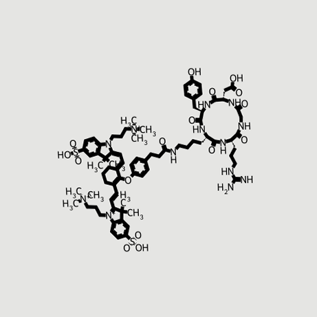 CC1(C)C(/C=C/C2=C(Oc3ccc(CCC(=O)NCCCC[C@@H]4NC(=O)[C@@H](Cc5ccc(O)cc5)NC(=O)[C@H](CC(=O)O)NC(=O)CNC(=O)[C@H](CCCNC(=N)N)NC4=O)cc3)C(=C/C=C3/N(CCC[N+](C)(C)C)c4ccc(S(=O)(=O)O)cc4C3(C)C)/CCC2)=[N+](CCC[N+](C)(C)C)c2ccc(S(=O)(=O)O)cc21